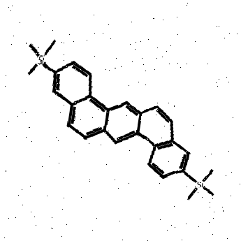 C[Si](C)(C)c1ccc2c(ccc3cc4c(ccc5cc([Si](C)(C)C)ccc54)cc32)c1